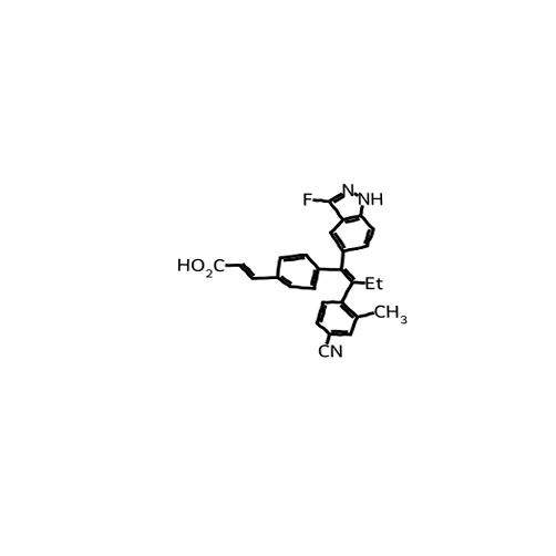 CC/C(=C(/c1ccc(/C=C/C(=O)O)cc1)c1ccc2[nH]nc(F)c2c1)c1ccc(C#N)cc1C